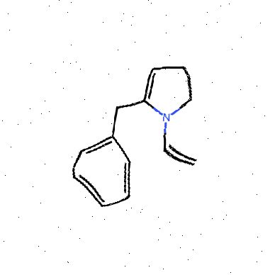 C=CN1CCC=C1Cc1ccccc1